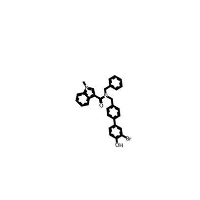 Cn1cc(C(=O)N(Cc2ccccc2)Cc2ccc(-c3ccc(O)c(Br)c3)cc2)c2ccccc21